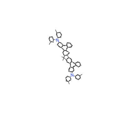 Cc1cccc(N(c2cccc(C)c2)c2ccc3c(c2)c2ccccc2c2cc4c(cc32)C(C)(C)c2cc3c5ccc(N(c6cccc(C)c6)c6cccc(C)c6)cc5c5ccccc5c3cc2-4)c1